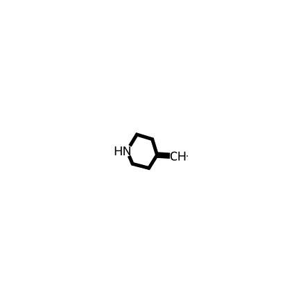 [CH]=C1CCNCC1